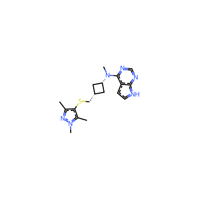 Cc1nn(C)c(C)c1SC[C@H]1C[C@@H](N(C)c2ncnc3[nH]ccc23)C1